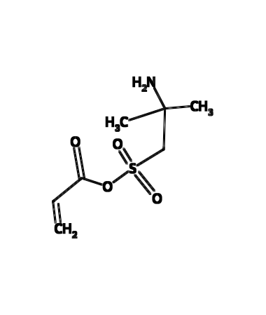 C=CC(=O)OS(=O)(=O)CC(C)(C)N